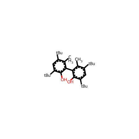 Cc1c(C(C)(C)C)cc(C(C)(C)C)c(O)c1-c1c(C)c(C(C)(C)C)cc(C(C)(C)C)c1O